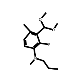 CCCN(C)c1ccc(C)c(C(OC)OC)c1F